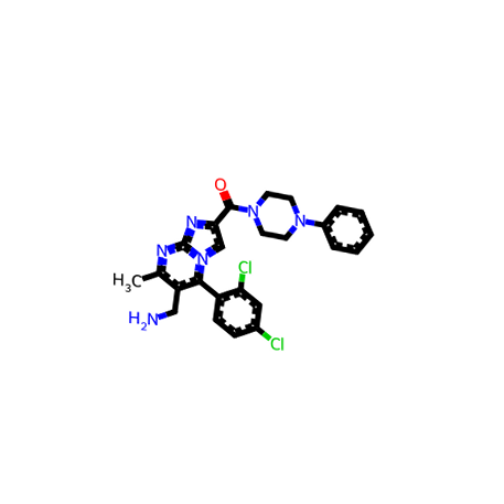 Cc1nc2nc(C(=O)N3CCN(c4ccccc4)CC3)cn2c(-c2ccc(Cl)cc2Cl)c1CN